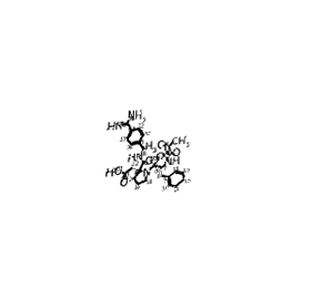 CN(C)S(=O)(=O)N[C@H](Cc1ccccc1)C(=O)N1CCC[C@@]1(CC(=O)O)C(=O)NCc1ccc(C(=N)N)cc1